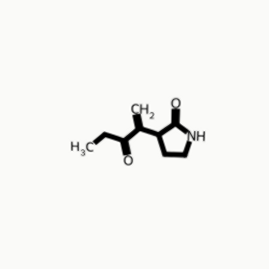 C=C(C(=O)CC)C1CCNC1=O